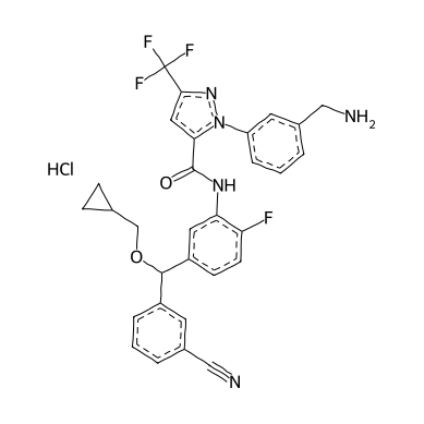 Cl.N#Cc1cccc(C(OCC2CC2)c2ccc(F)c(NC(=O)c3cc(C(F)(F)F)nn3-c3cccc(CN)c3)c2)c1